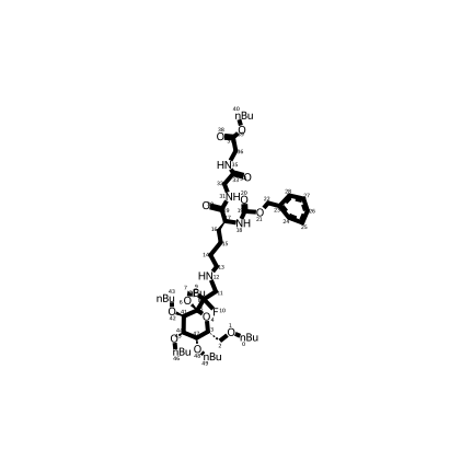 CCCCOC[C@H]1O[C@@](OCCCC)(C(F)(F)CNCCCC[C@H](NC(=O)OCc2ccccc2)C(=O)NCC(=O)NCC(=O)OCCCC)[C@H](OCCCC)[C@@H](OCCCC)[C@H]1OCCCC